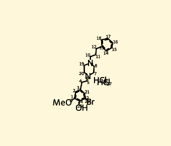 COc1cc(CCN2CCN(CCCc3ccccc3)CC2)cc(Br)c1O.Cl.Cl